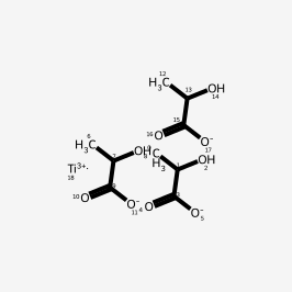 CC(O)C(=O)[O-].CC(O)C(=O)[O-].CC(O)C(=O)[O-].[Ti+3]